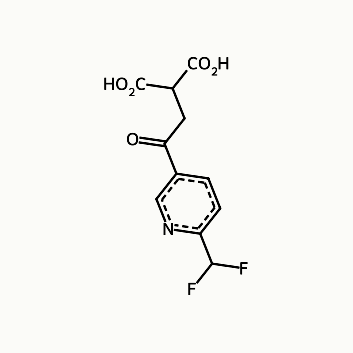 O=C(CC(C(=O)O)C(=O)O)c1ccc(C(F)F)nc1